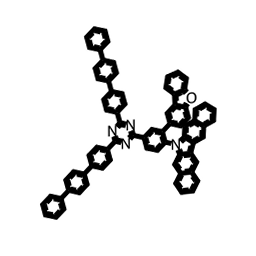 c1ccc(-c2ccc(-c3ccc(-c4nc(-c5ccc(-c6ccc(-c7ccccc7)cc6)cc5)nc(-c5ccc(-n6c7cc8ccccc8cc7c7cc8ccccc8cc76)c(-c6ccc7oc8ccccc8c7c6)c5)n4)cc3)cc2)cc1